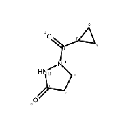 O=C1CCN(C(=O)C2CC2)N1